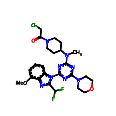 COc1cccc2c1nc(C(F)F)n2-c1nc(N2CCOCC2)nc(N(C)C2CCN(C(=O)CCl)CC2)n1